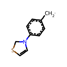 [CH2]c1ccc(N2C=CSC2)cc1